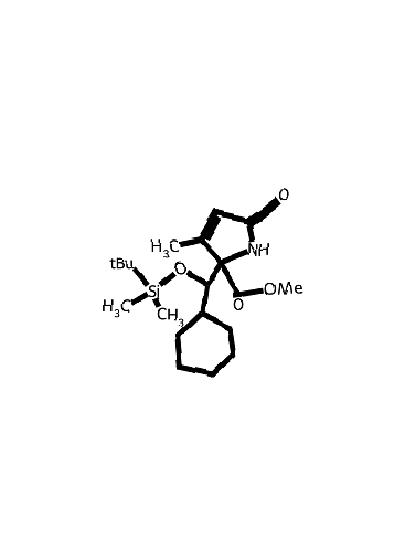 COC(=O)C1(C(O[Si](C)(C)C(C)(C)C)C2CCCCC2)NC(=O)C=C1C